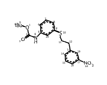 CC(C)(C)OC(=O)Nc1cccc(SCCc2cccc([N+](=O)[O-])c2)c1